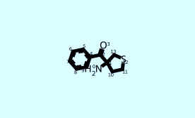 NC1(C(=O)c2ccccc2)CCSC1